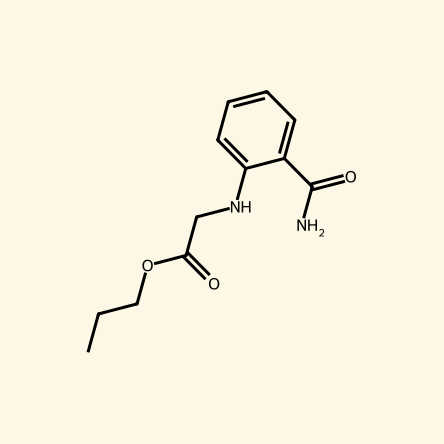 CCCOC(=O)CNc1ccccc1C(N)=O